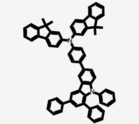 CC1(C)c2ccccc2-c2ccc(N(c3ccc(-c4ccc5c(c4)c4cc(-c6ccccc6)cc(-c6ccccc6)c4n5-c4ccccc4)cc3)c3ccc4c(c3)C(C)(C)c3ccccc3-4)cc21